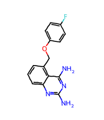 Nc1nc(N)c2c(COc3ccc(F)cc3)cccc2n1